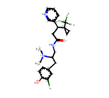 CN(C)C(CNC(=O)CC(c1cccnc1)C1(C(F)(F)F)CC1)Cc1ccc(O)c(F)c1